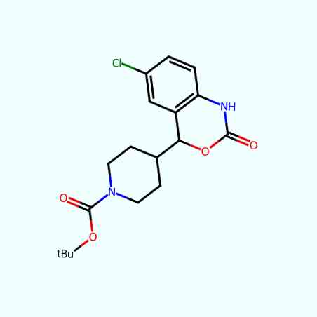 CC(C)(C)OC(=O)N1CCC(C2OC(=O)Nc3ccc(Cl)cc32)CC1